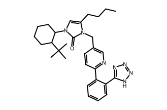 CCCCc1cn(C2CCCCC2C(C)(C)C)c(=O)n1Cc1ccc(-c2ccccc2-c2nnn[nH]2)nc1